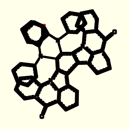 O=c1c2ccccc2n2c3c(N(c4ccccc4)c4ccccc4)c(N(c4ccccc4)c4ccccc4)c4c(c5cccc6c(=O)c7ccccc7n4c65)c3c3cccc1c32